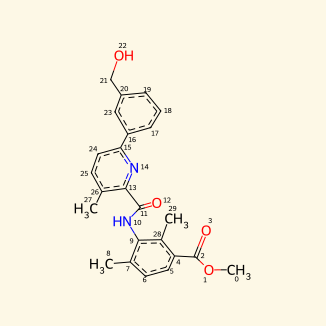 COC(=O)c1ccc(C)c(NC(=O)c2nc(-c3cccc(CO)c3)ccc2C)c1C